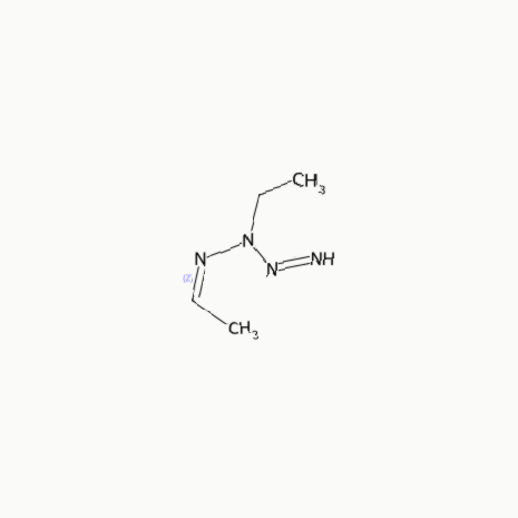 C/C=N\N(CC)N=N